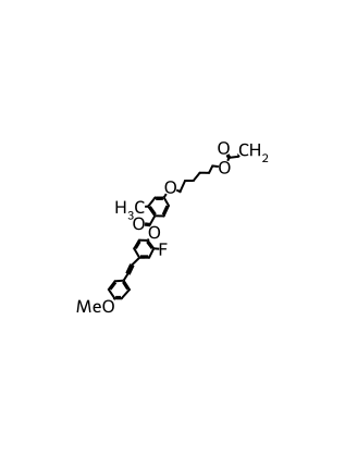 C=CC(=O)OCCCCCCOc1ccc(C(=O)Oc2ccc(C#Cc3ccc(OC)cc3)cc2F)c(C)c1